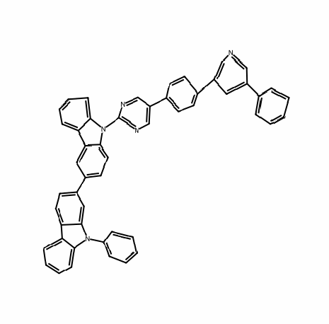 c1ccc(-c2cncc(-c3ccc(-c4cnc(-n5c6ccccc6c6cc(-c7ccc8c9ccccc9n(-c9ccccc9)c8c7)ccc65)nc4)cc3)c2)cc1